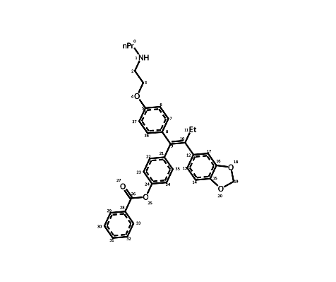 CCCNCCOc1ccc(C(=C(CC)c2ccc3c(c2)OCO3)c2ccc(OC(=O)c3ccccc3)cc2)cc1